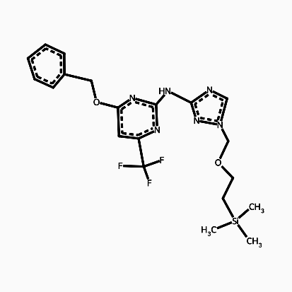 C[Si](C)(C)CCOCn1cnc(Nc2nc(OCc3ccccc3)cc(C(F)(F)F)n2)n1